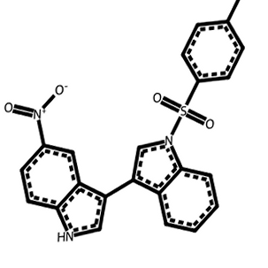 Cc1ccc(S(=O)(=O)n2cc(-c3c[nH]c4ccc([N+](=O)[O-])cc34)c3ccccc32)cc1